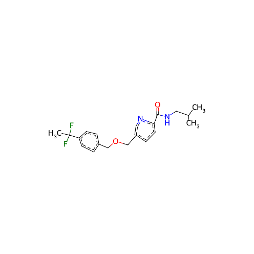 CC(C)CNC(=O)c1ccc(COCc2ccc(C(C)(F)F)cc2)cn1